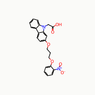 O=C(O)Cn1c2ccccc2c2ccc(OCCCOc3ccccc3[N+](=O)[O-])cc21